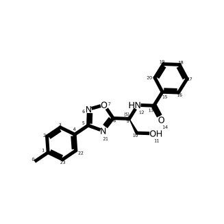 Cc1ccc(-c2noc([C@H](CO)NC(=O)c3ccccc3)n2)cc1